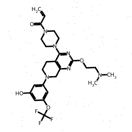 C=CC(=O)N1CCN(c2nc(OCCN(C)C)nc3c2CCN(c2cc(O)cc(OC(F)(F)F)c2)C3)CC1